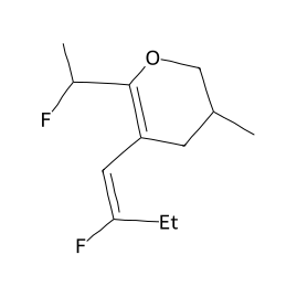 CC/C(F)=C\C1=C(C(C)F)OCC(C)C1